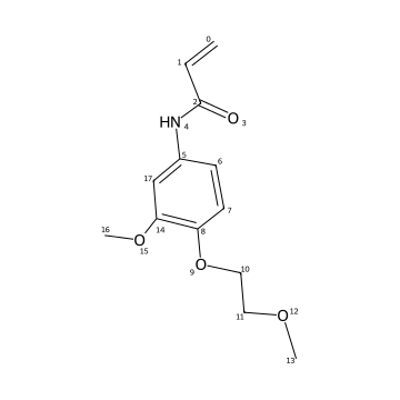 C=CC(=O)Nc1ccc(OCCOC)c(OC)c1